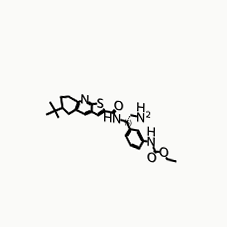 CCOC(=O)Nc1cccc([C@@H](CN)NC(=O)c2cc3cc4c(nc3s2)CCC(C(C)(C)C)C4)c1